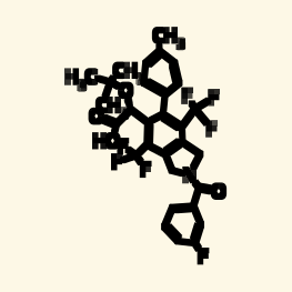 Cc1ccc(-c2c([C@H](OC(C)(C)C)C(=O)O)c(C(F)(F)F)c3c(c2C(F)(F)F)CN(C(=O)c2cccc(F)c2)C3)cc1